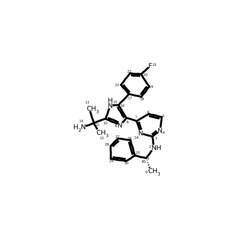 C[C@@H](Nc1nccc(-c2nc(C(C)(C)N)[nH]c2-c2ccc(F)cc2)n1)c1ccccc1